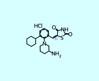 Cl.NC1CCCN(c2c(/C=C3/SC(=O)NC3=O)cccc2C2CCCCC2)C1